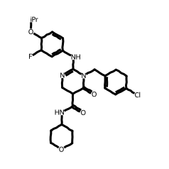 CC(C)OC1C=CC(NC2=NCC(C(=O)NC3CCOCC3)C(=O)N2CC2=CC=C(Cl)CC2)=CC1F